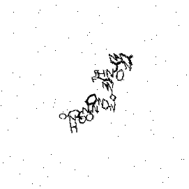 Cc1cnc2c(C(=O)Nc3cn([C@H]4C[C@H](CN(C)C5CCN(c6cccc7c6n(C)c(=O)n7C6CCC(=O)NC6=O)CC5)C4)nc3C(F)F)cnn2c1